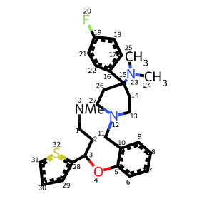 CNCCC(Oc1ccccc1CN1CCC(c2ccc(F)cc2)(N(C)C)CC1)c1cccs1